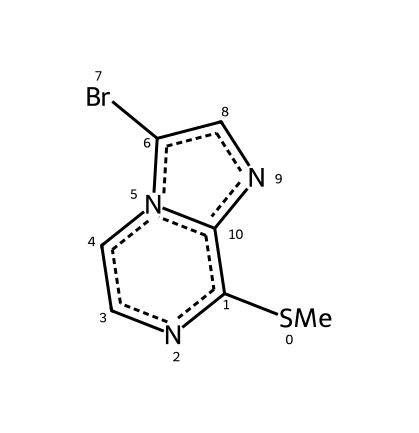 CSc1nccn2c(Br)cnc12